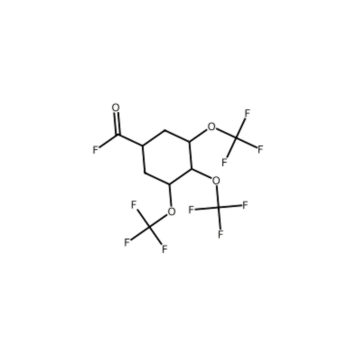 O=C(F)C1CC(OC(F)(F)F)C(OC(F)(F)F)C(OC(F)(F)F)C1